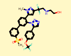 Cn1nc(C(F)(F)CNCCO)cc1-c1ccc(-c2cccc(S(C)(=O)=O)c2)cc1-n1nncc1-c1ccc(OC(F)(F)F)cc1